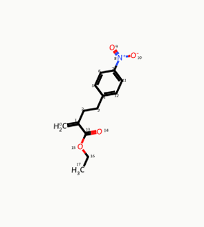 C=C(CCc1ccc([N+](=O)[O-])cc1)C(=O)OCC